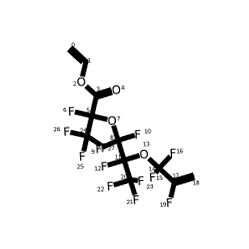 C=COC(=O)C(F)(OC(F)(F)C(F)(OC(F)(F)C(=C)F)C(F)(F)F)C(F)(F)F